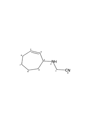 N#CCNC1C=CCCCC1